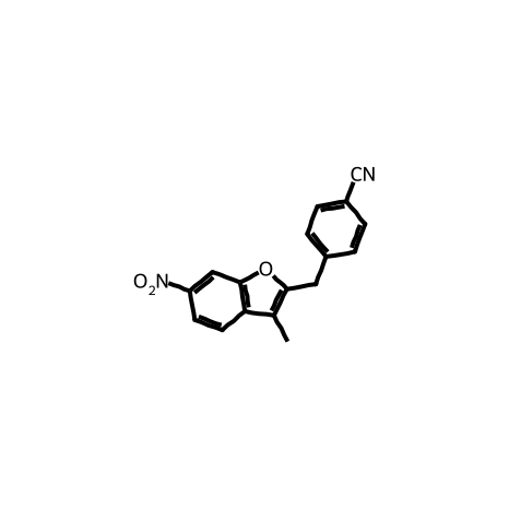 Cc1c(Cc2ccc(C#N)cc2)oc2cc([N+](=O)[O-])ccc12